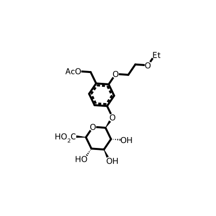 CCOCCOc1cc(O[C@@H]2O[C@H](C(=O)O)[C@@H](O)[C@H](O)[C@H]2O)ccc1COC(C)=O